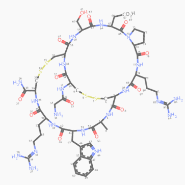 CC1NC(=O)C2CSSCC(NC(=O)CN)C(=O)NC(CSSCC(C(N)=O)NC(=O)C(CCCN=C(N)N)NC(=O)C(Cc3c[nH]c4ccccc34)NC1=O)C(=O)NC(CO)C(=O)NC(CC(=O)O)C(=O)N1CCCC1C(=O)NC(CCCN=C(N)N)C(=O)N2